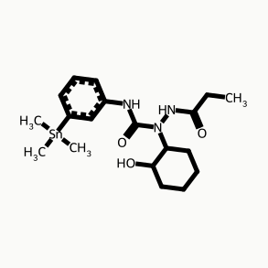 CCC(=O)NN(C(=O)Nc1ccc[c]([Sn]([CH3])([CH3])[CH3])c1)C1CCCCC1O